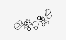 CCC1(C(=O)OC2(CC)C3CC4CC(C3)CC2C4)COCC(C)(C(=O)OC2(CC)C3CC4CC(C3)CC2C4)C1